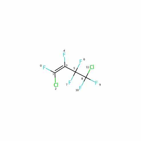 FC(Cl)=C(F)C(F)(F)C(F)(F)Cl